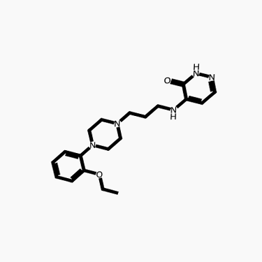 CCOc1ccccc1N1CCN(CCCNc2ccn[nH]c2=O)CC1